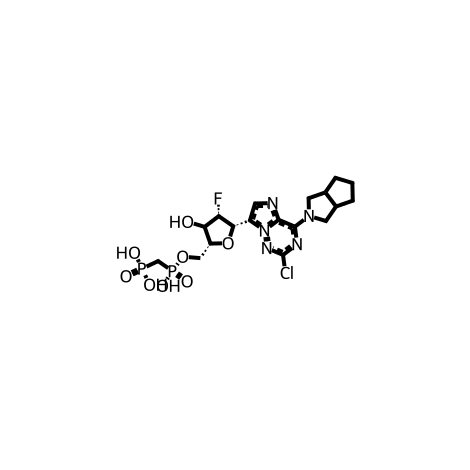 O=P(O)(O)CP(=O)(O)OC[C@H]1O[C@@H](c2cnc3c(N4CC5CCCC5C4)nc(Cl)nn23)[C@@H](F)C1O